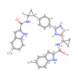 CC1(NC(=O)c2cc3cc(Cl)ccc3[nH]2)CC1c1ccc(-c2noc(C3(NC(=O)c4cc5cc(Cl)ccc5[nH]4)CC3)n2)cc1